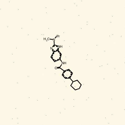 CC(C)N(C)c1nc2ccc(NC(=O)c3ccc(C4CCCCC4)cc3)cc2[nH]1